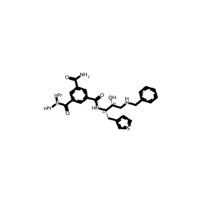 CCCN(CCC)C(=O)c1cc(C(N)=O)cc(C(=O)N[C@@H](Cc2ccsc2)[C@H](O)CNCc2ccccc2)c1